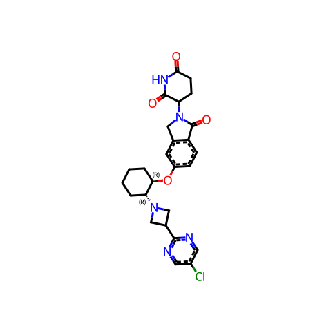 O=C1CCC(N2Cc3cc(O[C@@H]4CCCC[C@H]4N4CC(c5ncc(Cl)cn5)C4)ccc3C2=O)C(=O)N1